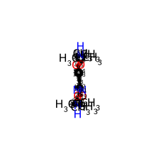 CC1(C)CC(OC(=O)c2ccc(C#Cc3cnc(C(=O)OC4CC(C)(C)NC(C)(C)C4)nc3)cc2)CC(C)(C)N1